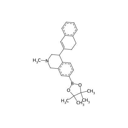 CN1Cc2cc(B3OC(C)(C)C(C)(C)O3)ccc2C(C2=Cc3ccccc3CC2)C1